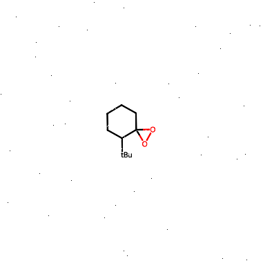 CC(C)(C)C1CCCCC12OO2